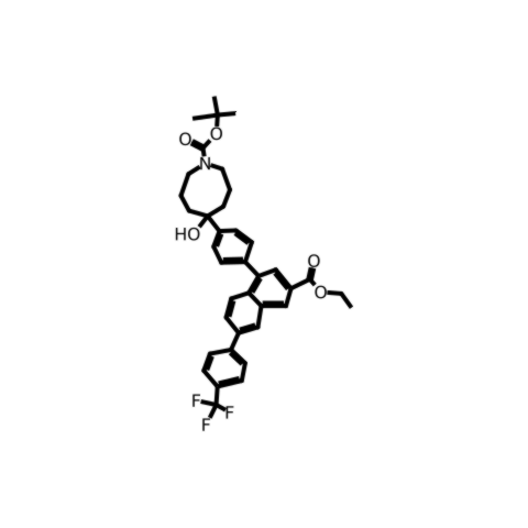 CCOC(=O)c1cc(-c2ccc(C3(O)CCCN(C(=O)OC(C)(C)C)CCC3)cc2)c2ccc(-c3ccc(C(F)(F)F)cc3)cc2c1